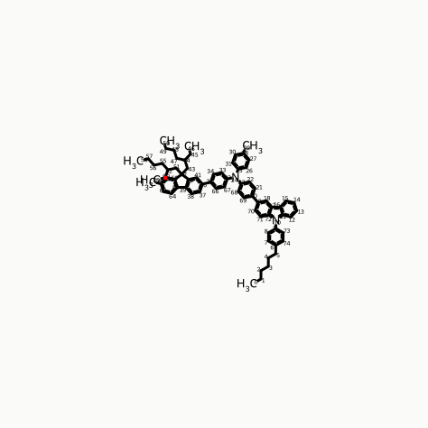 CCCCCCc1ccc(-n2c3ccccc3c3cc(-c4ccc(N(c5ccc(C)cc5)c5ccc(-c6ccc7c(c6)C(CC(CC)CCCC)(CC(CC)CCCC)c6cc(C)ccc6-7)cc5)cc4)ccc32)cc1